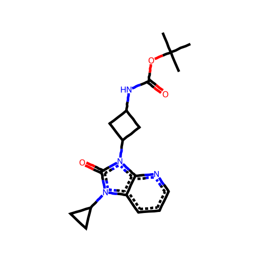 CC(C)(C)OC(=O)NC1CC(n2c(=O)n(C3CC3)c3cccnc32)C1